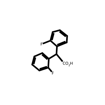 O=C(O)C(c1ccccc1F)c1ccccc1F